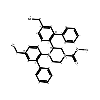 CC(C)(C)OC(=O)N1CCN(c2ccc(CC#N)cc2-c2ccccc2)C(c2ccc(CC#N)cc2-c2ccccc2)C1